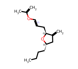 C=C(C)O/C=C/C[C@@H]1O[C@@H](CCCC)CC1=C